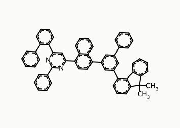 CC1(C)c2ccccc2-c2c(-c3cc(-c4ccccc4)cc(-c4ccc(-c5cc(-c6ccccc6-c6ccccc6)nc(-c6ccccc6)n5)c5ccccc45)c3)cccc21